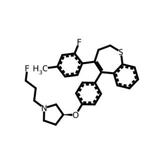 Cc1ccc(C2=C(c3ccc(O[C@H]4CCN(CCCF)C4)cc3)c3ccccc3SCC2)c(F)c1